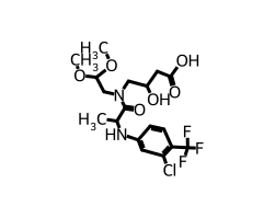 COC(CN(CC(O)CC(=O)O)C(=O)C(C)Nc1ccc(C(F)(F)F)c(Cl)c1)OC